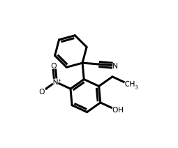 CCc1c(O)ccc([N+](=O)[O-])c1C1(C#N)C=CC=CC1